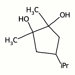 CC(C)C1CC(C)(O)C(C)(O)C1